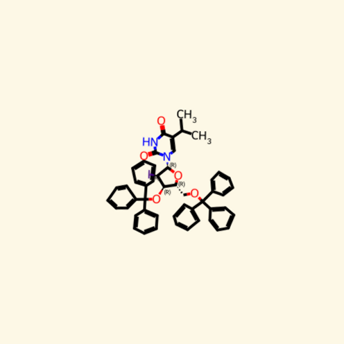 CC(C)c1cn([C@@H]2O[C@H](COC(c3ccccc3)(c3ccccc3)c3ccccc3)[C@@H](OC(c3ccccc3)(c3ccccc3)c3ccccc3)[C@H]2I)c(=O)[nH]c1=O